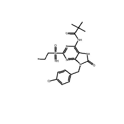 CCCS(=N)(=O)c1nc(NC(=O)C(C)(C)C)c2[nH]c(=O)n(Cc3ccc(Cl)cc3)c2n1